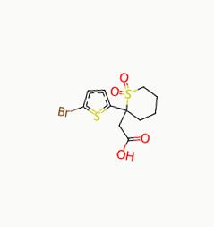 O=C(O)CC1(c2ccc(Br)s2)CCCCS1(=O)=O